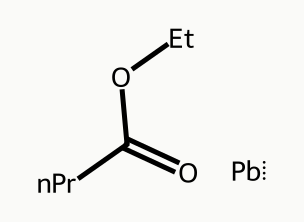 CCCC(=O)OCC.[Pb]